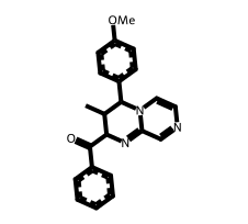 COc1ccc(C2C(C)C(C(=O)c3ccccc3)N=C3C=NC=CN32)cc1